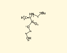 C[C@@H](NCC(C)(C)C)C(=O)OCCO